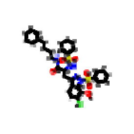 COc1c(Cl)ccc2c(CC(NS(=O)(=O)c3ccccc3)C(=O)NCCCCc3ccccc3)nn(S(=O)(=O)c3ccccc3)c12